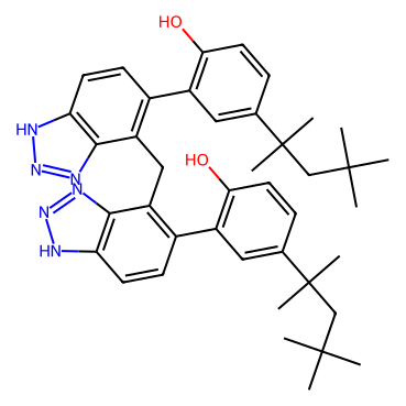 CC(C)(C)CC(C)(C)c1ccc(O)c(-c2ccc3[nH]nnc3c2Cc2c(-c3cc(C(C)(C)CC(C)(C)C)ccc3O)ccc3[nH]nnc23)c1